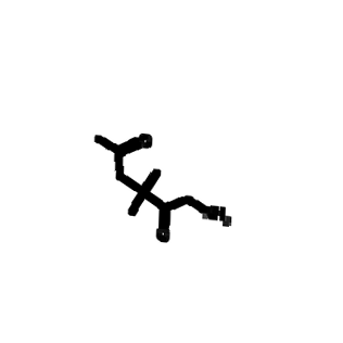 CC(=O)CC(C)(C)C(=O)CN